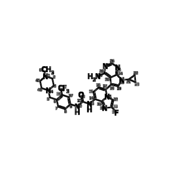 CN1CCN(Cc2ccc(NC(=O)Nc3ccc(-c4cn(C5CC5)c5ncnc(N)c45)n4cc(F)nc34)cc2C(F)(F)F)CC1